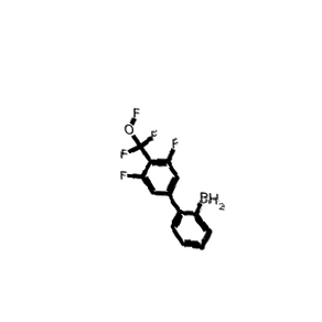 Bc1ccccc1-c1cc(F)c(C(F)(F)OF)c(F)c1